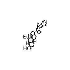 CC[C@@H]1C[C@H]2C[C@](C)(O)CC[C@]2(C)[C@H]2CC[C@]3(C)[C@@H](C(=O)Cn4cc5ccncc5n4)CC[C@H]3[C@H]12